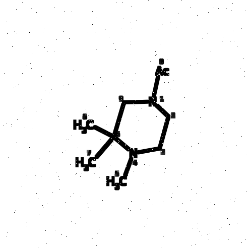 CC(=O)N1CCN(C)C(C)(C)C1